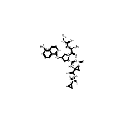 C=C[C@@H]1C[C@]1(NC(=O)[C@@H]1C[C@@H](Oc2nccc3c(O)cccc23)CN1C(=O)[C@@H](NC(=O)OC(C)(C)C)C(C)(C)C)C(=O)NS(=O)(=O)C1CC1